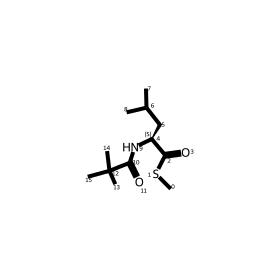 CSC(=O)[C@H](CC(C)C)NC(=O)C(C)(C)C